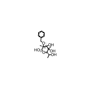 CC(O)[C@H]1O[C@H](O)[C@](C)(OCc2ccccc2)[C@@](C)(O)[C@]1(C)O